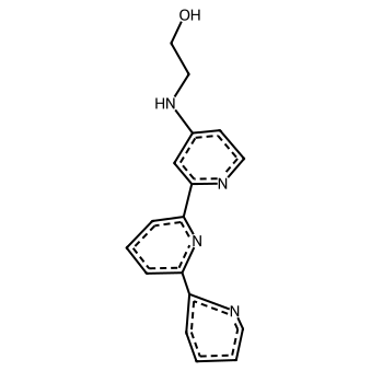 OCCNc1ccnc(-c2cccc(-c3ccccn3)n2)c1